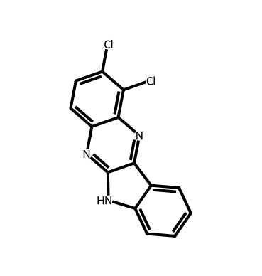 Clc1ccc2nc3[nH]c4ccccc4c3nc2c1Cl